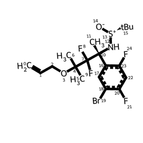 C=CCOC(C)(C)C(F)(F)[C@](C)(N[S@+]([O-])C(C)(C)C)c1cc(Br)c(F)cc1F